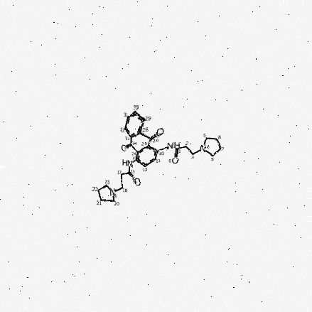 O=C(CCN1CCCC1)Nc1ccc(NC(=O)CCN2CCCC2)c2c1C(=O)c1ccccc1C2=O